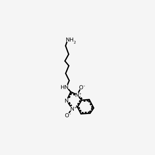 NCCCCCCNc1n[n+]([O-])c2ccccc2[n+]1[O-]